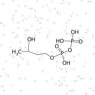 CC(O)CCOP(=O)(O)OP(=O)(O)O